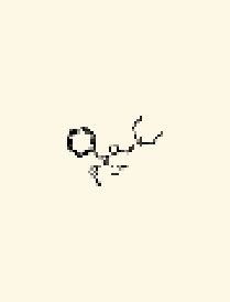 CCN(CC)CO[Si](OC)(OC)c1ccccc1